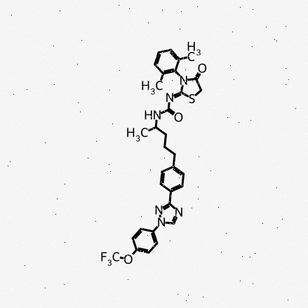 Cc1cccc(C)c1N1C(=O)CS/C1=N\C(=O)NC(C)CCCc1ccc(-c2ncn(-c3ccc(OC(F)(F)F)cc3)n2)cc1